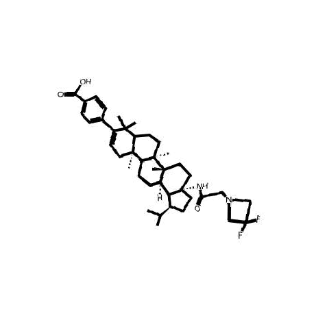 CC(C)[C@@H]1CC[C@]2(NC(=O)CN3CC(F)(F)C3)CC[C@]3(C)[C@H](CCC4[C@@]5(C)CC=C(c6ccc(C(=O)O)cc6)C(C)(C)C5CC[C@]43C)C12